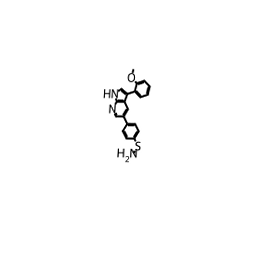 COc1ccccc1-c1c[nH]c2ncc(-c3ccc(SN)cc3)cc12